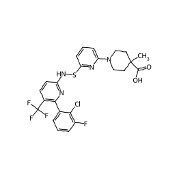 CC1(C(=O)O)CCN(c2cccc(SNc3ccc(C(F)(F)F)c(-c4cccc(F)c4Cl)n3)n2)CC1